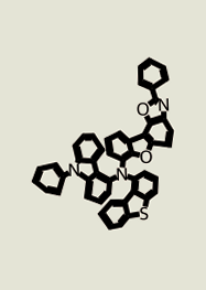 c1ccc(-c2nc3ccc4oc5c(N(c6cccc7sc8ccccc8c67)c6cccc7c6c6ccccc6n7-c6ccccc6)cccc5c4c3o2)cc1